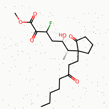 CCCCCC(=O)CCC1([C@H](C)[C@@H](O)CC(F)C(=O)C(=O)OC)CCCC1=O